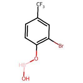 OBOc1ccc(C(F)(F)F)cc1Br